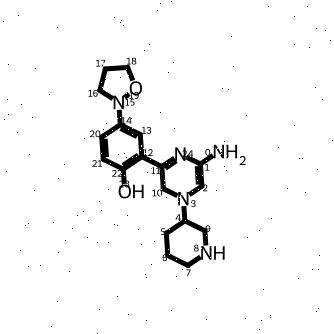 NC1=CN(C2CCCNC2)CC(c2cc(N3CCCO3)ccc2O)=N1